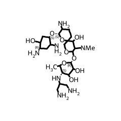 CNC1C(O[C@H]2OC(C)[C@@H](NC(CN)CN)C(O)C2O)OCC2(CCC(N)[C@@H](O[C@H]3CC(O)[C@H](N)CC3N)O2)C1O